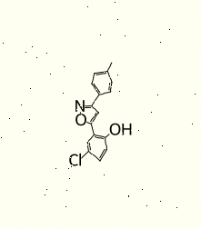 Cc1ccc(-c2cc(-c3cc(Cl)ccc3O)on2)cc1